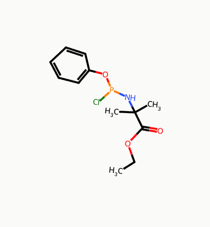 CCOC(=O)C(C)(C)NP(Cl)Oc1ccccc1